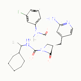 CCC(NC(=O)N1C(=O)[C@H](Cc2ccnc(N)c2)[C@H]1C(=O)N(C)c1cccc(F)c1)C1CCCCC1